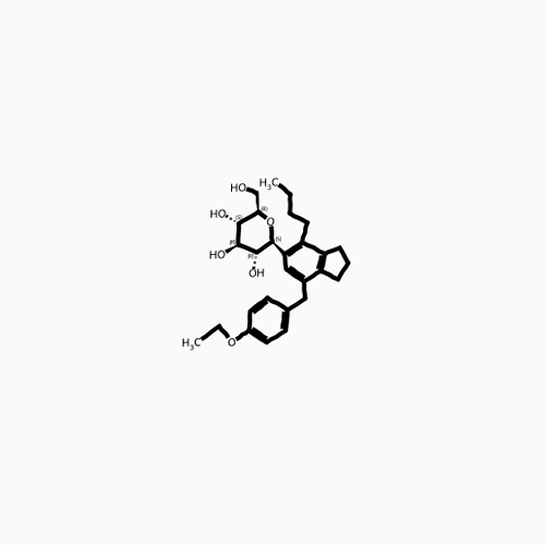 CCCCc1c([C@@H]2O[C@H](CO)[C@@H](O)[C@H](O)[C@H]2O)cc(Cc2ccc(OCC)cc2)c2c1CCC2